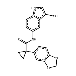 CC(C)(C)c1c[nH]c2ccc(NC(=O)C3(c4ccc5c(c4)OCO5)CC3)cc12